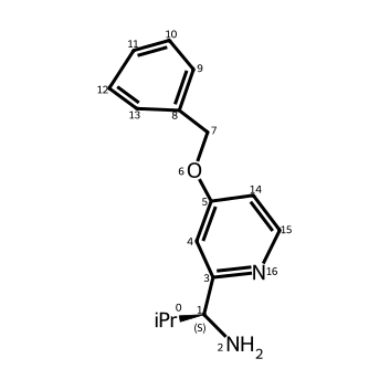 CC(C)[C@H](N)c1cc(OCc2ccccc2)ccn1